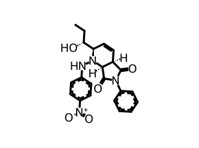 CC[C@@H](O)[C@H]1C=C[C@H]2C(=O)N(c3ccccc3)C(=O)[C@H]2N1Nc1ccc([N+](=O)[O-])cc1